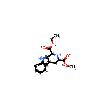 CCOC(=O)C1NC(C(=O)OC)Cc2c1[nH]c1ccccc21